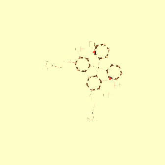 CCOc1c(C2(c3ccc(OCC4CO4)c(C)c3OCC)c3ccccc3-c3ccccc32)ccc(OCC2CO2)c1C